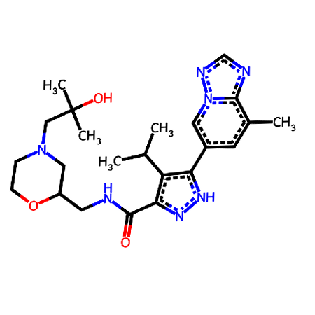 Cc1cc(-c2[nH]nc(C(=O)NCC3CN(CC(C)(C)O)CCO3)c2C(C)C)cn2ncnc12